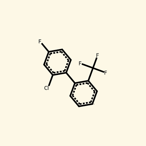 Fc1ccc(-c2cc[c]cc2C(F)(F)F)c(Cl)c1